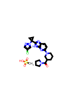 CS(=O)(=O)O.O=C(C1CCCN(c2ccc3nc(C4(n5cc(Cl)cn5)CC4)[nH]c3n2)C1)N1CCCC1